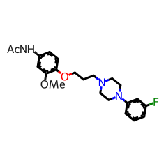 COc1cc(NC(C)=O)ccc1OCCCN1CCN(c2cccc(F)c2)CC1